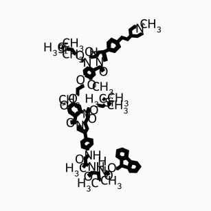 COc1cc2c(cc1OCCCOc1cc3c(cc1OC)C(=O)N1C=C(c4ccc(CCC5CCN(C)CC5)cc4)C[C@H]1C(=O)N3COCC[Si](C)(C)C)N(COCC[Si](C)(C)C)C(=O)C1CC(c3ccc(NC(=O)C(C)NC(=O)[C@@H](NC(=O)OCC4c5ccccc5-c5ccccc54)C(C)C)cc3)=CN1C2=O